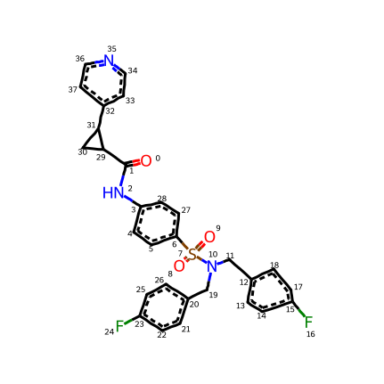 O=C(Nc1ccc(S(=O)(=O)N(Cc2ccc(F)cc2)Cc2ccc(F)cc2)cc1)C1CC1c1ccncc1